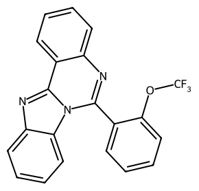 FC(F)(F)Oc1ccccc1-c1nc2ccccc2c2nc3ccccc3n12